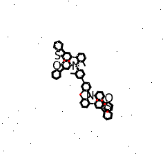 Cc1cc(-c2ccc(N(c3ccc4oc5ccccc5c4c3)c3c(C)cccc3-c3ccc4sc5ccccc5c4c3)c(C)c2)ccc1N(c1ccc2oc3ccccc3c2c1)c1c(C)cccc1-c1ccc2sc3ccccc3c2c1